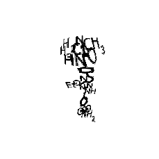 CCOc1nc(NCc2ccc(S(N)(=O)=O)cc2)nc2ccc(-c3ccc(NC(=O)C(C)(C)N)cc3)nc12